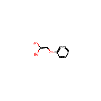 OC(O)COc1ccccc1